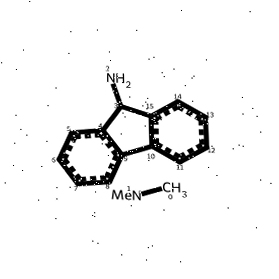 CNC.NC1c2ccccc2-c2ccccc21